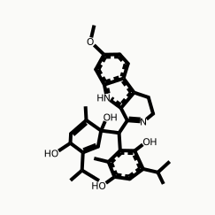 COc1ccc2c3c([nH]c2c1)C(C(c1c(C)c(O)cc(C(C)C)c1O)C1(O)C=C(C(C)C)C(O)C=C1C)=NCC3